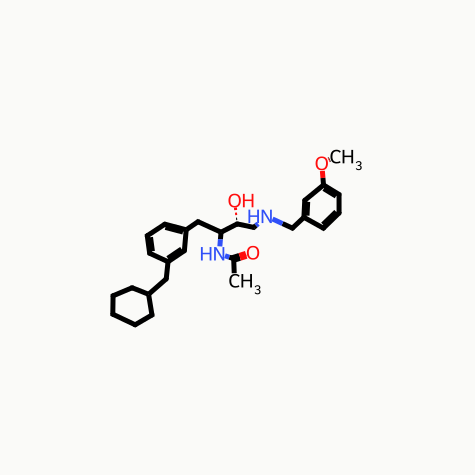 COc1cccc(CNC[C@@H](O)C(Cc2cccc(CC3CCCCC3)c2)NC(C)=O)c1